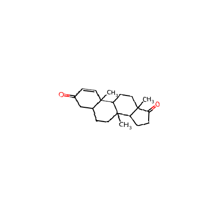 CC12CCC3C4(C)C=CC(=O)CC4CCC3(C)C1CCC2=O